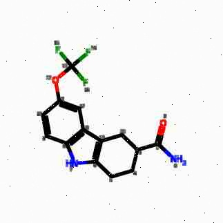 NC(=O)C1CCc2[nH]c3ccc(OC(F)(F)F)cc3c2C1